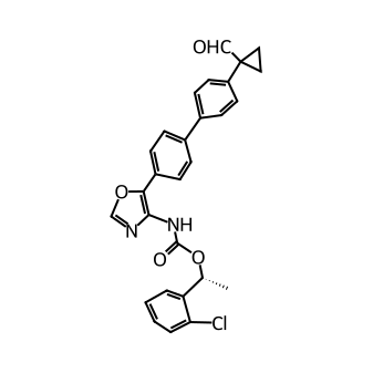 C[C@@H](OC(=O)Nc1ncoc1-c1ccc(-c2ccc(C3(C=O)CC3)cc2)cc1)c1ccccc1Cl